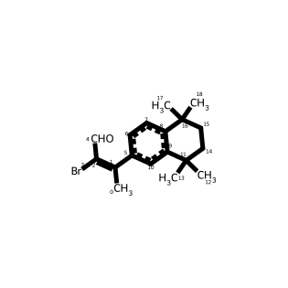 C/C(=C(\Br)C=O)c1ccc2c(c1)C(C)(C)CCC2(C)C